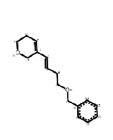 C1=C(/C=C/CCOCc2ccccc2)COCC1